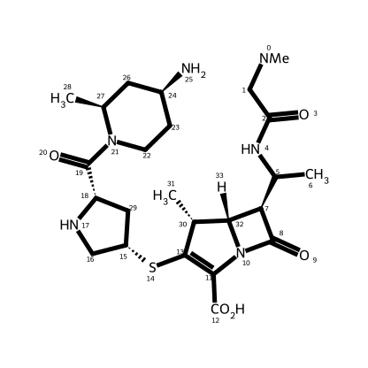 CNCC(=O)NC(C)[C@H]1C(=O)N2C(C(=O)O)=C(S[C@@H]3CN[C@H](C(=O)N4CC[C@H](N)C[C@@H]4C)C3)[C@H](C)[C@H]12